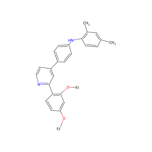 CCOc1ccc(-c2cc(-c3ccc(Nc4ccc(C)cc4C)cc3)ccn2)c(OCC)c1